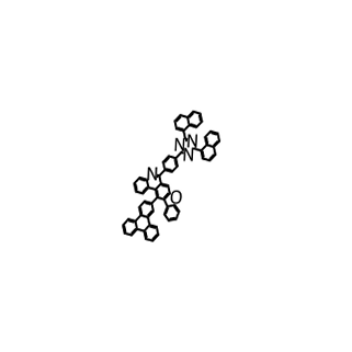 c1ccc2c(-c3nc(-c4ccc(-c5nc6ccccc6c6c(-c7ccc8c9ccccc9c9ccccc9c8c7)c7c(cc56)oc5ccccc57)cc4)nc(-c4cccc5ccccc45)n3)cccc2c1